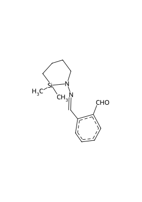 C[Si]1(C)CCCCN1N=Cc1ccccc1C=O